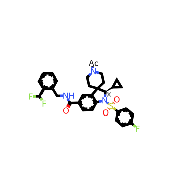 CC(=O)N1CCC2(CC1)c1cc(C(=O)NCc3ccccc3C(F)F)ccc1N(S(=O)(=O)c1ccc(F)cc1)[C@@H]2C1CC1